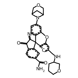 N=C1C(=O)c2ccc(C(N)=O)cc2C12c1ccc(NC3CCCOC3)cc1Oc1cc(N3C4COCC3C4)ccc12